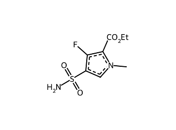 CCOC(=O)c1c(F)c(S(N)(=O)=O)cn1C